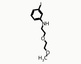 COCCOCCNc1cccc(I)c1